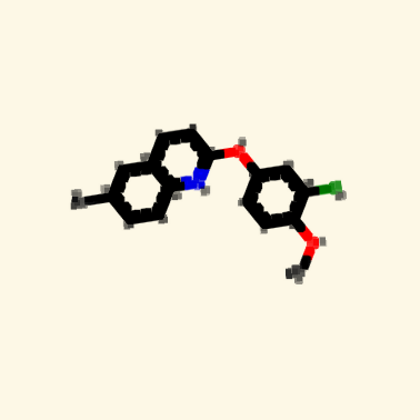 CCCOc1ccc(Oc2ccc3cc(C(C)=O)ccc3n2)cc1Cl